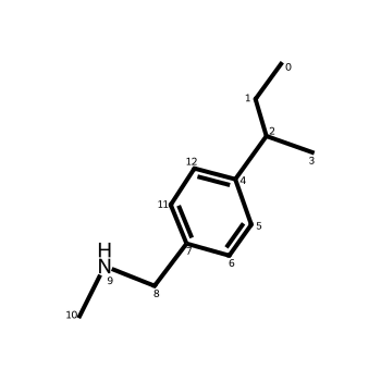 CCC(C)c1ccc(CNC)cc1